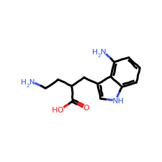 NCCC(Cc1c[nH]c2cccc(N)c12)C(=O)O